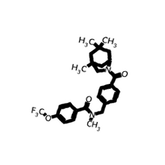 CN(Cc1ccc(C(=O)N2CC3(C)CC2CC(C)(C)C3)cc1)C(=O)c1ccc(OC(F)(F)F)cc1